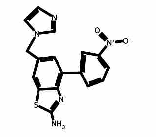 Nc1nc2c(-c3cccc([N+](=O)[O-])c3)cc(Cn3ccnc3)cc2s1